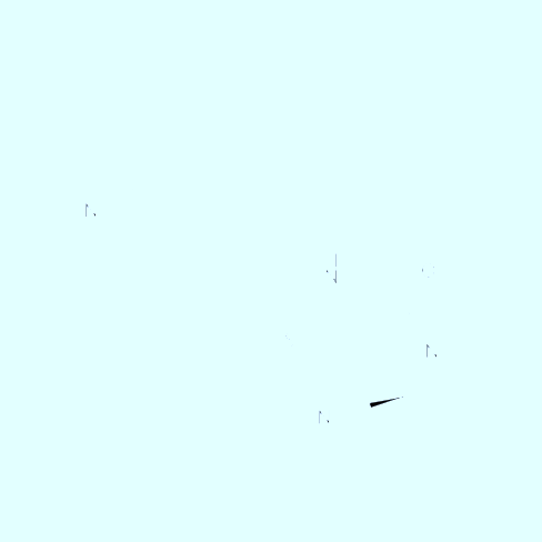 N#C[C@@H]1CCCN1C(=O)[C@@H]1CSC(c2ccc(-c3ccccn3)cc2)N1